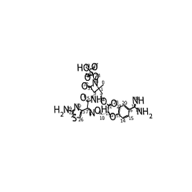 CC1(C)[C@H](NC(=O)/C(=N\OC[C@@H](Oc2ccc(C(=N)N)cc2)C(=O)O)c2csc(N)n2)C(=O)N1OS(=O)(=O)O